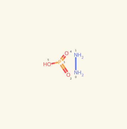 NN.O=P(=O)O